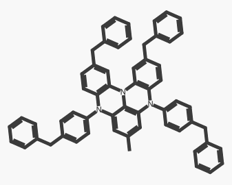 Cc1cc2c3c(c1)N(c1ccc(Cc4ccccc4)cc1)c1ccc(Cc4ccccc4)cc1N3c1cc(Cc3ccccc3)ccc1N2c1ccc(Cc2ccccc2)cc1